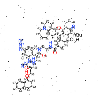 CCCCc1cc2c(c3c1=NCCC3)Oc1c(cc3c4c1CCCN4CCCC3)C=2c1cc(C(=O)NCCN(Cc2cc(N=[N+]=[N-])c(C)c(N=[N+]=[N-])c2)C(=O)CCNCC(O)COc2cccc3ccccc23)ccc1C(=O)O